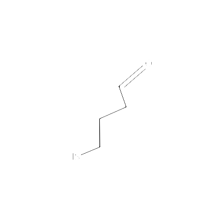 O=CCCCS